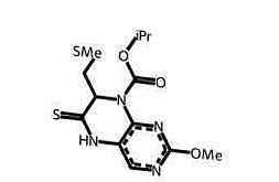 COc1ncc2c(n1)N(C(=O)OC(C)C)C(CSC)C(=S)N2